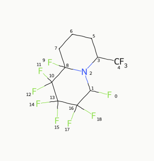 FC1N2C(C(F)(F)F)CCCC2(F)C(F)(F)C(F)(F)C1(F)F